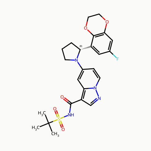 CC(C)(C)S(=O)(=O)NC(=O)c1cnn2ccc(N3CCC[C@@H]3c3cc(F)cc4c3OCCO4)cc12